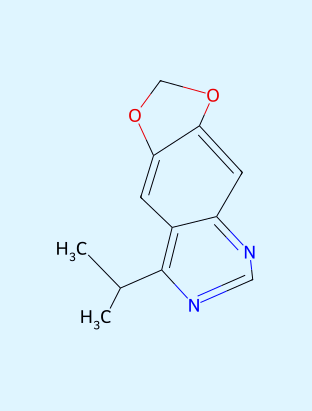 CC(C)c1ncnc2cc3c(cc12)OCO3